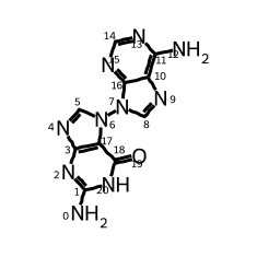 Nc1nc2ncn(-n3cnc4c(N)ncnc43)c2c(=O)[nH]1